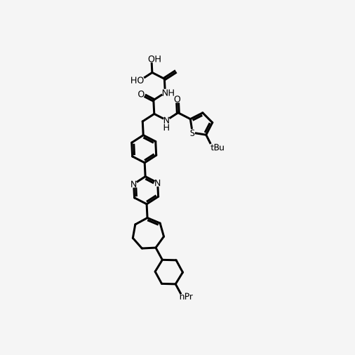 C=C(NC(=O)C(Cc1ccc(-c2ncc(C3=CCC(C4CCC(CCC)CC4)CCC3)cn2)cc1)NC(=O)c1ccc(C(C)(C)C)s1)C(O)O